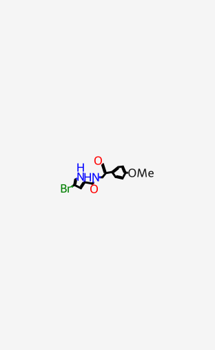 COc1ccc(C(=C=O)CNC(=O)c2cc(Br)c[nH]2)cc1